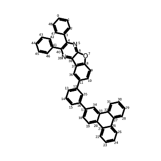 c1ccc(-c2nc3oc4ccc(-c5cccc(-c6ccc7c8ccccc8c8ccccc8c7c6)c5)cc4c3nc2-c2ccccc2)cc1